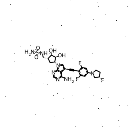 Nc1ncnc2c1c(C#Cc1c(F)cc(N3CC[C@H](F)C3)cc1F)cn2[C@@H]1C[C@H](CNS(N)(=O)=O)[C@@H](O)[C@H]1O